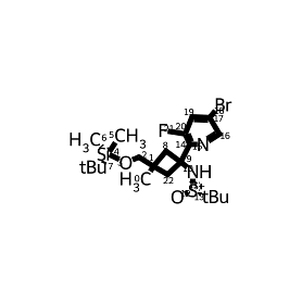 CC1(CO[Si](C)(C)C(C)(C)C)CC(N[S@+]([O-])C(C)(C)C)(c2ncc(Br)cc2F)C1